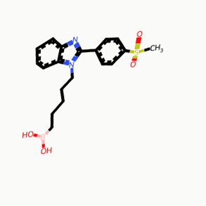 CS(=O)(=O)c1ccc(-c2nc3ccccc3n2CCCCCB(O)O)cc1